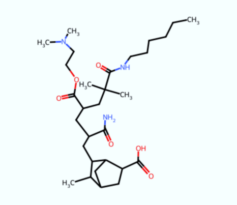 CCCCCCNC(=O)C(C)(C)CC(CC(CC1C(C)C2CC(C(=O)O)C1C2)C(N)=O)C(=O)OCCN(C)C